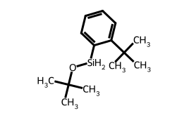 CC(C)(C)O[SiH2]c1ccccc1C(C)(C)C